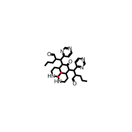 CCCC(C=O)C(c1ccncn1)C(C(=O)C(C1CCNCC1)C(c1ccncn1)C(C=O)CCC)C1CCNCC1